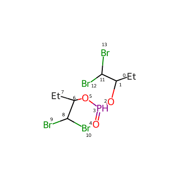 CCC(O[PH](=O)OC(CC)C(Br)Br)C(Br)Br